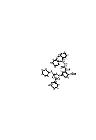 CC(C)(C)c1ccc(CCC(CC2CCCCC2)OC(=O)c2ccccc2)cc1NC(=O)CC1c2ccccc2Oc2ccccc21